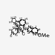 CCC(=O)N(c1nc2ccc(OC)nc2s1)c1cccc(C2CCCC2)c1S(=O)(=O)N1CCN(C)CC1